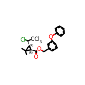 CC1(C)[C@H](C(=O)OCc2cccc(Oc3ccccc3)c2)[C@H]1C(Cl)C(Cl)(Cl)Cl